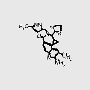 Cc1cc2cc(C(=O)N(Cc3ccc(C(F)(F)F)nn3)C(c3ncccn3)C3CC3)ccc2nc1N